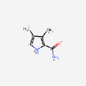 Cc1c[nH]c(C(N)=O)c1C